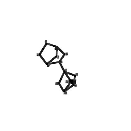 C1CC2CC1CC2C12CCC(C1)N2